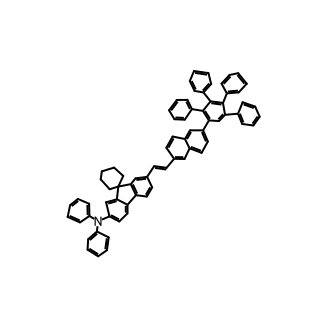 C(=C\c1ccc2cc(-c3cc(-c4ccccc4)c(-c4ccccc4)c(-c4ccccc4)c3-c3ccccc3)ccc2c1)/c1ccc2c(c1)C1(CCCCC1)c1cc(N(c3ccccc3)c3ccccc3)ccc1-2